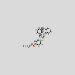 CCc1ccccc1C(=CCSc1ccc(OCC(=O)O)cc1)c1ccccc1CC